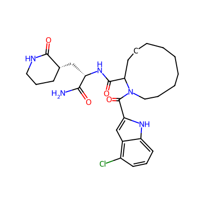 NC(=O)[C@H](C[C@@H]1CCCNC1=O)NC(=O)C1CCCCCCCCCN1C(=O)c1cc2c(Cl)cccc2[nH]1